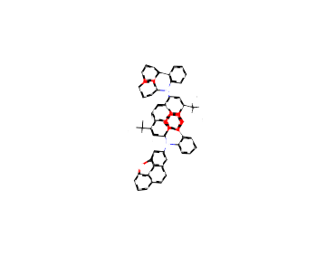 CC(C)(C)c1cc(N(c2ccccc2)c2ccccc2-c2ccccc2)c2ccc3c(C(C)(C)C)cc(N(c4cc5ccc6cccc7oc(c4)c5c67)c4ccccc4-c4ccccc4)c4ccc1c2c43